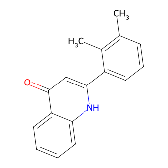 Cc1cccc(-c2cc(=O)c3ccccc3[nH]2)c1C